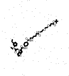 CCc1cccc(N(CC)C(=O)Cn2c(C(=O)N[C@H]3CC[C@H](C(=O)NCCCCCC(=O)NCCOCCOCCC(=O)OC(C)(C)C)CC3)cc3sccc32)c1